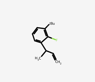 C=C[C](C)c1cccc(C(C)(C)C)c1F